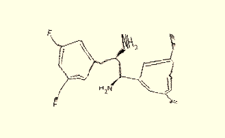 N[C@H](c1cc(F)cc(F)c1)[C@H](N)c1cc(F)cc(F)c1